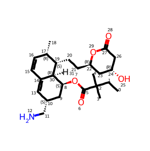 CCC(C)(C)C(=O)O[C@H]1C[C@H](CN)C=C2C=C[C@H](C)[C@H](CC[C@@H]3C[C@@H](O)CC(=O)O3)[C@H]21